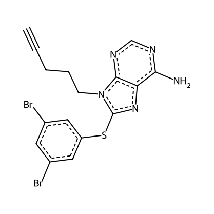 C#CCCCn1c(Sc2cc(Br)cc(Br)c2)nc2c(N)ncnc21